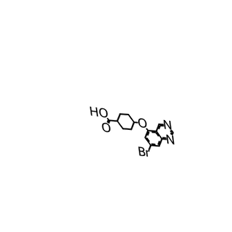 O=C(O)C1CCC(Oc2cc(Br)cc3ncncc23)CC1